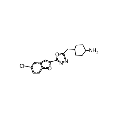 NC1CCC(Cc2nnc(-c3cc4cc(Cl)ccc4o3)o2)CC1